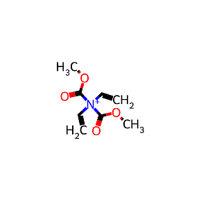 C=C[N+](C=C)(C(=O)OC)C(=O)OC